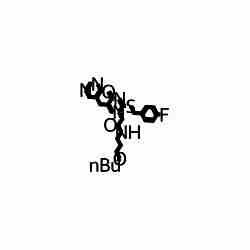 CCCCOCCCNC(=O)Cn1cc(Cc2cncnc2)c(=O)nc1SCc1ccc(F)cc1